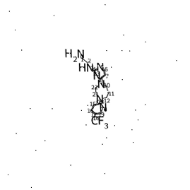 NCCNc1nccc(N2CCCN(c3ccc(C(F)(F)F)cn3)CC2)n1